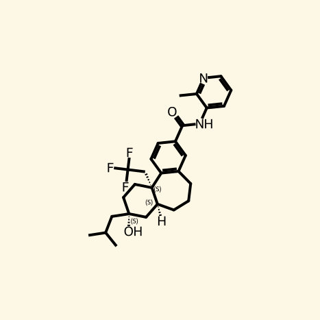 Cc1ncccc1NC(=O)c1ccc2c(c1)CCC[C@H]1C[C@@](O)(CC(C)C)CC[C@@]21CC(F)(F)F